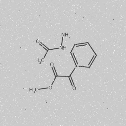 CC(=O)NN.COC(=O)C(=O)c1ccccc1